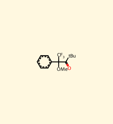 COC(C(=O)C(C)(C)C)(c1ccccc1)C(F)(F)F